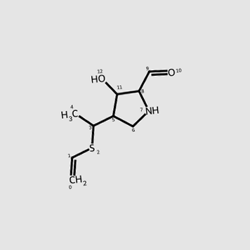 C=CSC(C)C1CNC(C=O)C1O